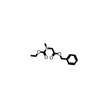 CCOC(=O)N(C)CC(=O)OCc1ccccc1